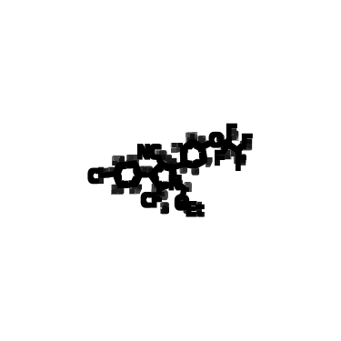 CCOCn1c(-c2ccc(OC(F)(F)C(F)F)cc2)c(C#N)c(-c2ccc(Cl)cc2)c1C(F)(F)F